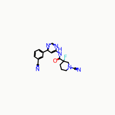 N#Cc1cccc(-c2cc(NC(=O)C3(F)CCCN(C#N)C3)ncn2)c1